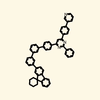 c1ccc(-c2nc(-c3ccc(-c4cccnc4)cc3)cc(-c3ccc(-c4cccc(-c5cccc(-c6ccc7c(c6)C6(CCCCC6)c6ccccc6-7)c5)c4)cc3)n2)cc1